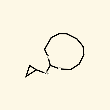 C1CCCCCC(PC2CC2)CCCCC1